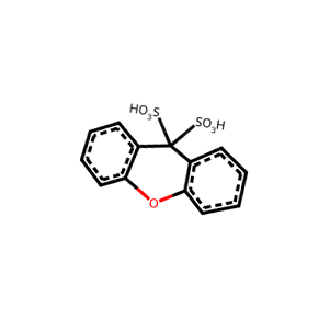 O=S(=O)(O)C1(S(=O)(=O)O)c2ccccc2Oc2ccccc21